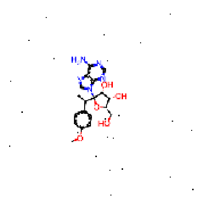 COc1ccc([C@@H](C)[C@@]2(n3cnc4c(N)ncnc43)O[C@H](CO)[C@@H](O)[C@H]2O)cc1